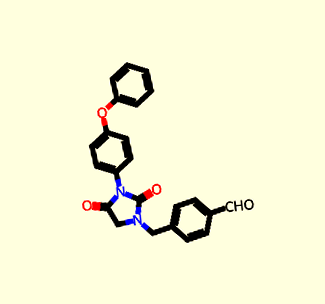 O=Cc1ccc(CN2CC(=O)N(c3ccc(Oc4ccccc4)cc3)C2=O)cc1